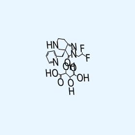 O=C(O)C(O)C(O)C(=O)O.O=C1N(CC(F)F)N=C2CCNC[C@@]12Cc1ccccn1